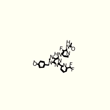 COc1ccc(Cn2cnc3c(Nc4ccnc(NC(C)=O)c4F)nc(-c4cccc(C(F)F)n4)nc32)cc1